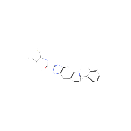 CCCc1nc(C(=O)NC(CS)CC(C)C)[nH]c1Cc1ccc(-c2ccccc2C(=O)O)nc1